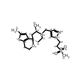 Cc1cc2c(s1)CCO[C@@]21CCN(Cc2cnn(CCS(C)(=O)=O)c2)[C@H](C)C1